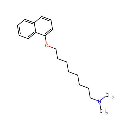 CN(C)CCCCCCCCOc1cccc2ccccc12